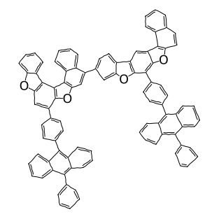 c1ccc(-c2c3ccccc3c(-c3ccc(-c4c5oc6cc(-c7cc8oc9c(-c%10ccc(-c%11c%12ccccc%12c(-c%12ccccc%12)c%12ccccc%11%12)cc%10)cc%10oc%11ccccc%11c%10c9c8c8ccccc78)ccc6c5cc5c4oc4ccc6ccccc6c45)cc3)c3ccccc23)cc1